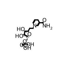 NC(=O)C1=CN(CCC2O[C@H](COP(=O)(O)O)[C@@H](O)[C@H]2O)C=CC1